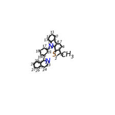 Cc1csc2c1ccc1c3ccccc3n(-c3cccc(-c4nccc5ccccc45)c3)c12